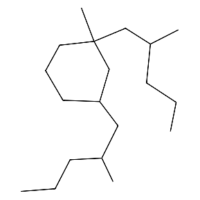 CCCC(C)CC1CCCC(C)(CC(C)CCC)C1